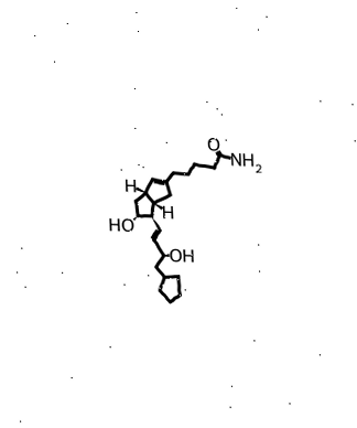 NC(=O)CCCCC1=C[C@H]2C[C@@H](O)[C@H](/C=C/[C@@H](O)CC3CCCC3)[C@H]2C1